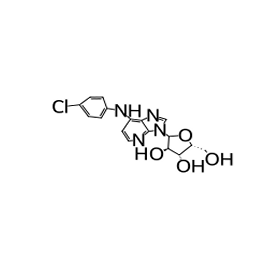 OC[C@H]1OC(n2cnc3c(Nc4ccc(Cl)cc4)ccnc32)[C@H](O)[C@H]1O